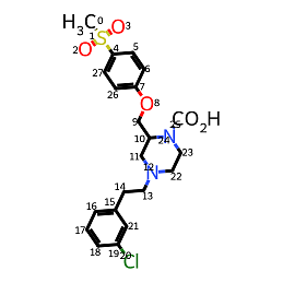 CS(=O)(=O)c1ccc(OCC2CN(CCc3cccc(Cl)c3)CCN2C(=O)O)cc1